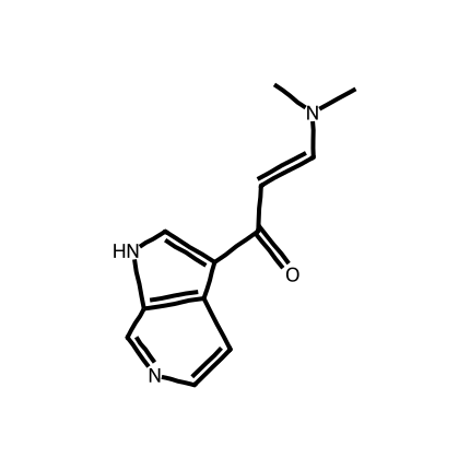 CN(C)/C=C/C(=O)c1c[nH]c2cnccc12